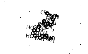 C[C@H]1O[C@@H](O[C@H]2[C@@H](O)C[C@H](O[C@H]3[C@@H](O)C[C@H](O[C@H]4CC[C@@]5(C)[C@H](CC[C@@H]6[C@@H]5CC[C@]5(C)[C@@H](C7=CC(=O)OC7)CC[C@]65O)C4)O[C@@H]3C)O[C@@H]2C)C[C@H](O)[C@@H]1O.Cc1c2ccncc2c(C)c2c1[nH]c1ccccc12.Clc1ccc(COC(Cn2ccnc2)c2ccc(Cl)cc2Cl)c(Cl)c1